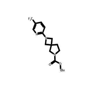 CC(C)(C)OC(=O)N1CCC2(C1)CN(c1ccc(C(F)(F)F)cn1)C2